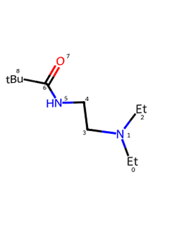 CCN(CC)CCNC(=O)C(C)(C)C